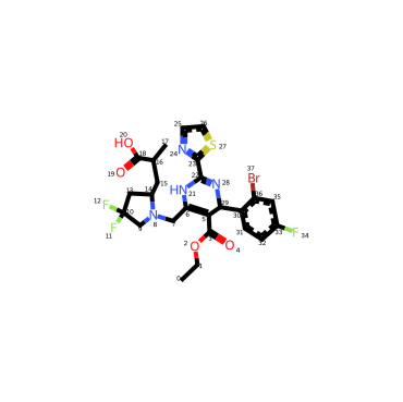 CCOC(=O)C1=C(CN2CC(F)(F)CC2CC(C)C(=O)O)NC(c2nccs2)=NC1c1ccc(F)cc1Br